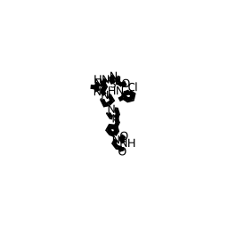 Cc1nc(Nc2ncc(C(=O)Nc3c(C)cccc3Cl)s2)cc(N2CCC(N3CCN(Cc4cccc(N5CCC(=O)NC5=O)c4)CC3)CC2)n1